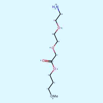 COCCCOC(=O)COCCOCCN